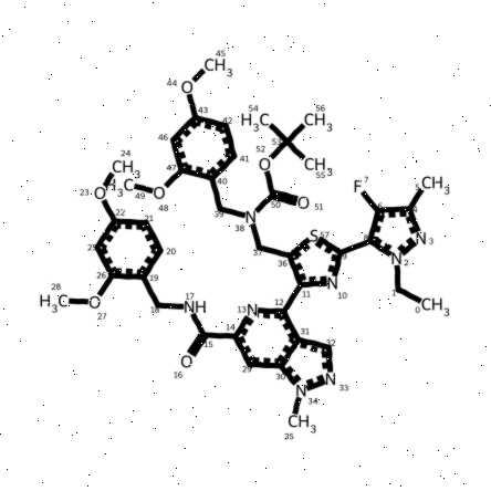 CCn1nc(C)c(F)c1-c1nc(-c2nc(C(=O)NCc3ccc(OC)cc3OC)cc3c2cnn3C)c(CN(Cc2ccc(OC)cc2OC)C(=O)OC(C)(C)C)s1